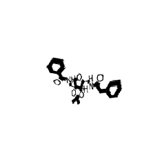 CC1(C)O[C@@H]2[C@@H](CNC(=O)Cc3ccccc3)OC[C@]2(CNC(=O)c2ccccc2)O1